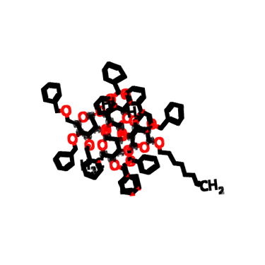 C=CCCCCCCO[C@@H]1O[C@H](COCc2ccccc2)[C@@H](O[C@@H]2O[C@@H]3COC(c4ccccc4)O[C@@H]3[C@H](O[C@H]3O[C@H](COCc4ccccc4)[C@H](OCc4ccccc4)[C@H](OCc4ccccc4)[C@H]3OCc3ccccc3)[C@H]2O[C@@H]2O[C@@H](C)[C@@H](OCc3ccccc3)[C@@H](OCc3ccccc3)[C@@H]2OCc2ccccc2)[C@H](OCc2ccccc2)[C@H]1OCc1ccccc1